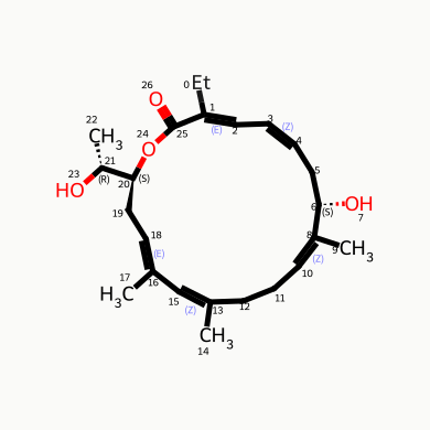 CC/C1=C\C=C/C[C@H](O)/C(C)=C\CC/C(C)=C\C(C)=C\C[C@@H]([C@@H](C)O)OC1=O